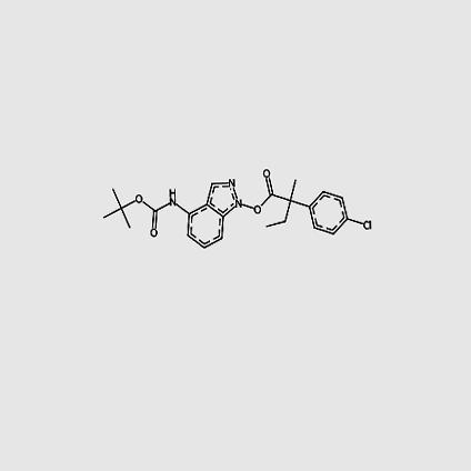 CCC(C)(C(=O)On1ncc2c(NC(=O)OC(C)(C)C)cccc21)c1ccc(Cl)cc1